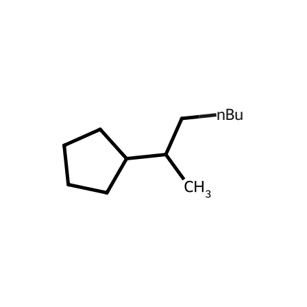 CCCCCC(C)C1CCCC1